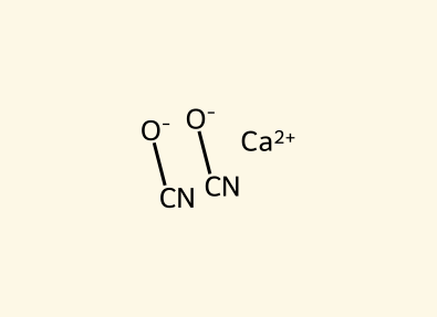 N#C[O-].N#C[O-].[Ca+2]